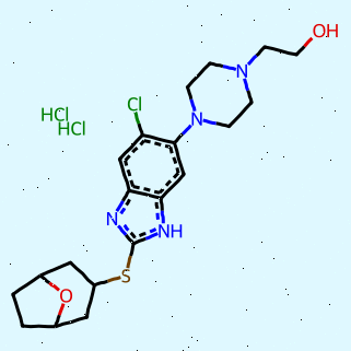 Cl.Cl.OCCN1CCN(c2cc3[nH]c(SC4CC5CCC(C4)O5)nc3cc2Cl)CC1